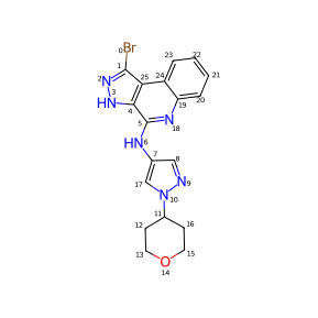 Brc1n[nH]c2c(Nc3cnn(C4CCOCC4)c3)nc3ccccc3c12